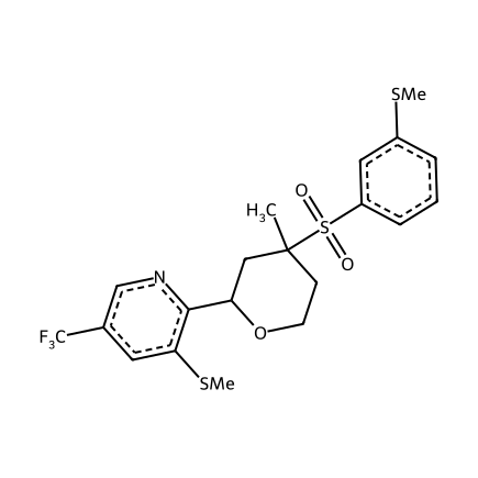 CSc1cccc(S(=O)(=O)C2(C)CCOC(c3ncc(C(F)(F)F)cc3SC)C2)c1